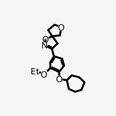 CCOc1cc(C2=NOC3(CCOC3)C2)ccc1OC1CCCCCC1